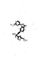 Cc1nn(-c2ccnc(N)n2)c2cc(C#CC(C)(O)c3cc(CO)on3)ccc12